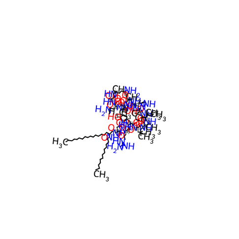 CCCCCCCCCCCCCCCCC(NC(=O)CCCCCCCCCCCCC)C(=O)N[C@@H](CC(=O)O)C(=O)N[C@@H](CCCNC(=N)N)C(=O)N[C@@H](Cc1ccc(O)cc1)C(=O)N[C@@H](CC(C)C)C(=O)N[C@@H](C)C(=O)N[C@H](C(=O)N[C@H](C(=O)N[C@@H](Cc1c[nH]cn1)C(=O)N[C@@H](C)C(=O)N[C@H](C(=O)N[C@@H](CC(N)=O)C(=O)N[C@@H](CO)C(=O)N[C@H](C)CCC(N)=O)[C@@H](C)O)C(C)C)[C@@H](C)CC